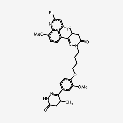 CCc1ccc2c(C3=NN(CCCCOc4ccc(C5=NNC(=O)CC5C)cc4OC)C(=O)CC3C)ccc(OC)c2n1